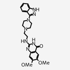 COc1cc2nc(NCCN3CCN(c4n[nH]c5ccccc45)CC3)[nH]c(=O)c2cc1OC